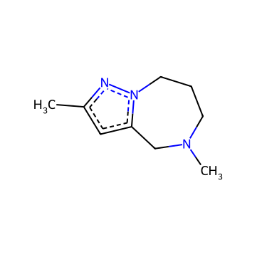 Cc1cc2n(n1)CCCN(C)C2